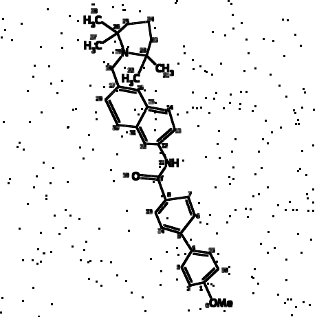 COc1ccc(-c2ccc(C(=O)Nc3ccc4cc(CN5C(C)(C)CCCC5(C)C)ccc4c3)cc2)cc1